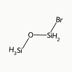 [SiH3]O[SiH2]Br